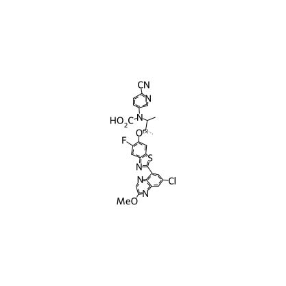 COc1cnc2c(-c3nc4cc(F)c(O[C@@H](C)C(C)N(C(=O)O)c5ccc(C#N)nc5)cc4s3)cc(Cl)cc2n1